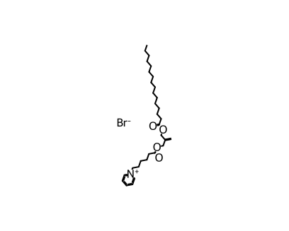 C=C(COC(=O)CCCCCCCCCCCCCCC)COC(=O)CCCCC[n+]1ccccc1.[Br-]